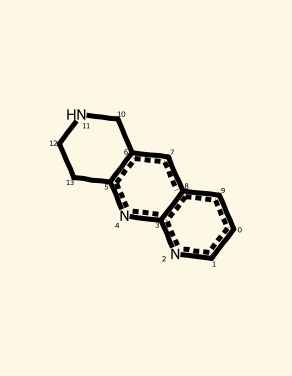 c1cnc2nc3c(cc2c1)CNCC3